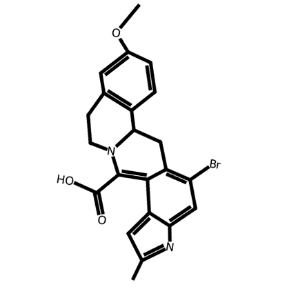 COc1ccc2c(c1)CCN1C(C(=O)O)=c3c(c(Br)cc4c3=CC(C)=N4)CC21